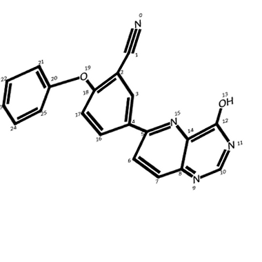 N#Cc1cc(-c2ccc3ncnc(O)c3n2)ccc1Oc1ccccc1